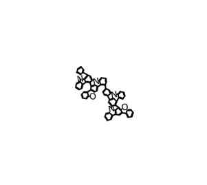 c1ccc2c(c1)oc1c2cc2c3ccccc3n3c4cc5c6ccc(-c7cccc8c7c7cc9oc%10ccccc%10c9c9c%10c%11c%12ccccc%12n%12c%13ccccc%13c(cc%10n8c79)c%11%12)cc6n6c7ccccc7c(c4c1c23)c56